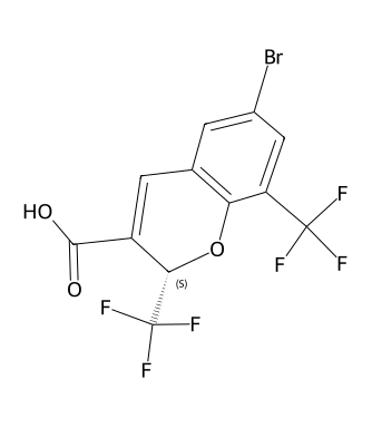 O=C(O)C1=Cc2cc(Br)cc(C(F)(F)F)c2O[C@@H]1C(F)(F)F